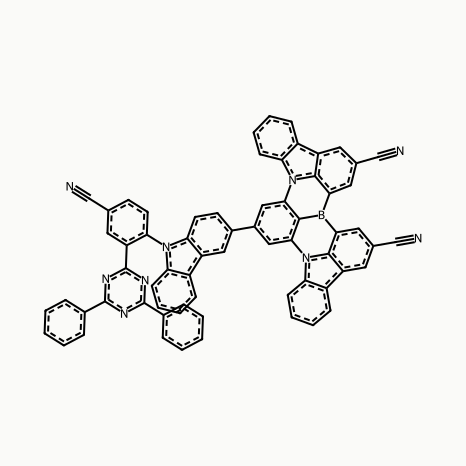 N#Cc1ccc(-n2c3ccccc3c3cc(-c4cc5c6c(c4)-n4c7ccccc7c7cc(C#N)cc(c74)B6c4cc(C#N)cc6c7ccccc7n-5c46)ccc32)c(-c2nc(-c3ccccc3)nc(-c3ccccc3)n2)c1